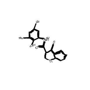 CC(C)(C)c1cc(NC(=O)c2c[nH]c3ccccc3c2=O)c(O)c(C(C)(C)C)c1